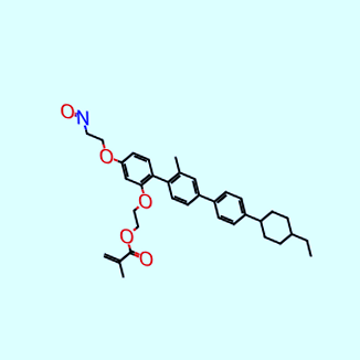 C=C(C)C(=O)OCCOc1cc(OCCN=O)ccc1-c1ccc(-c2ccc(C3CCC(CC)CC3)cc2)cc1C